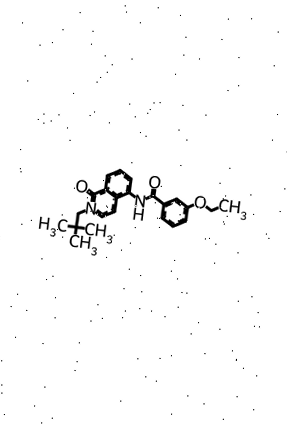 CCOc1cccc(C(=O)Nc2cccc3c(=O)n(CC(C)(C)C)ccc23)c1